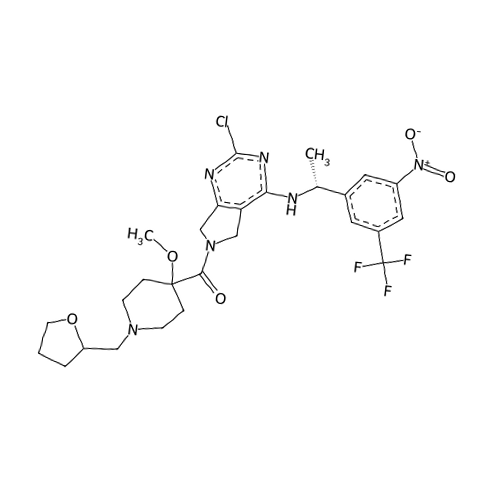 COC1(C(=O)N2Cc3nc(Cl)nc(N[C@H](C)c4cc([N+](=O)[O-])cc(C(F)(F)F)c4)c3C2)CCN(CC2CCCO2)CC1